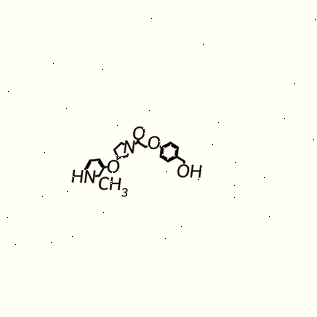 CC1NC=CC=C1OC1CCN(C(=O)COc2ccc(CO)cc2)C1